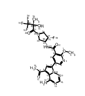 COc1ncc(-c2cc(C(C)=O)c3c(N)ncnn23)cc1C(=O)N[C@@H]1CN(C(=O)[C@@](C)(O)C(F)(F)F)C[C@@H]1F